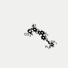 CCOc1cc(O[C@H]2CCc3c(-c4cccc(OCCCN5C(C)CC[C@H]5C)c4C)cccc32)c(Cl)cc1CN1CCC[C@@H](C(=O)O)C1